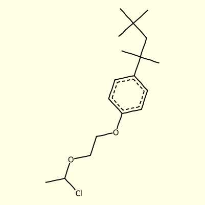 CC(Cl)OCCOc1ccc(C(C)(C)CC(C)(C)C)cc1